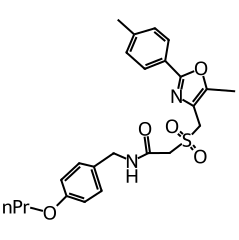 CCCOc1ccc(CNC(=O)CS(=O)(=O)Cc2nc(-c3ccc(C)cc3)oc2C)cc1